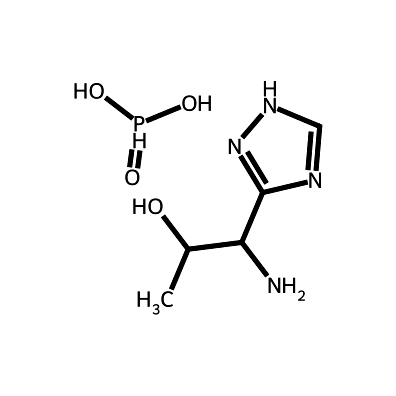 CC(O)C(N)c1nc[nH]n1.O=[PH](O)O